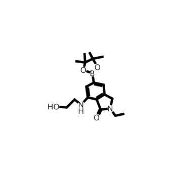 CCN1Cc2cc(B3OC(C)(C)C(C)(C)O3)cc(NCCO)c2C1=O